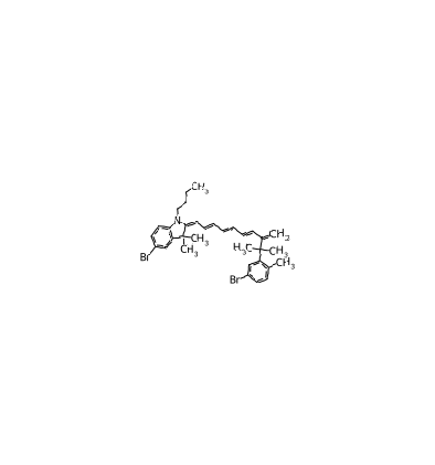 C=C(/C=C/C=C/C=C/C=C1/N(CCCC)c2ccc(Br)cc2C1(C)C)C(C)(C)c1cc(Br)ccc1C